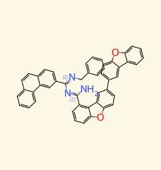 N/C(=N\C(=N/Cc1ccccc1)c1ccc2ccc3ccccc3c2c1)c1cccc2oc3ccc(-c4ccc5oc6ccccc6c5c4)cc3c12